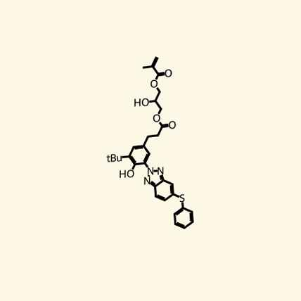 C=C(C)C(=O)OCC(O)COC(=O)CCc1cc(-n2nc3ccc(Sc4ccccc4)cc3n2)c(O)c(C(C)(C)C)c1